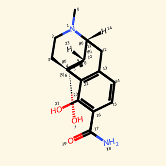 CN1CC[C@]23C[C@@H](O)C=C[C@H]2[C@H]1Cc1ccc(C(N)=O)c(O)c13